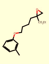 CCOC(=O)C1(CCCCOc2cccc(C)c2)CO1